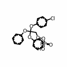 O=[PH](O)OOCC(Oc1ccccc1)(Oc1ccccc1)Oc1ccc(Cl)cc1